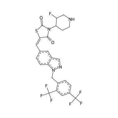 O=C1SC(=Cc2ccc3c(cnn3Cc3ccc(C(F)(F)F)cc3C(F)(F)F)c2)C(=O)N1C1CCNCC1F